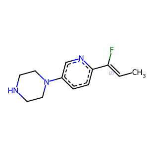 C/C=C(\F)c1ccc(N2CCNCC2)cn1